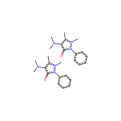 Cc1c(N(C)C)c(=O)n(-c2ccccc2)n1C.Cc1c(N(C)C)c(=O)n(-c2ccccc2)n1C